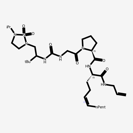 C=CCNC(=O)[C@H](CC/C=C\CCCCC)NC(=O)[C@@H]1CCCN1C(=O)CNC(=O)NC(CN1CCN(C(C)C)S1(=O)=O)C(C)(C)C